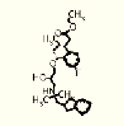 CCC[C@@H](OC[C@H](O)CNC(C)(C)CC1Cc2ccccc2C1)c1cc(F)ccc1CCC(=O)OCC